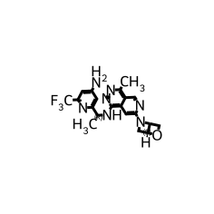 Cc1nnc(N[C@H](C)c2cc(N)cc(C(F)(F)F)n2)c2cc(N3C[C@@H]4OCC43)ncc12